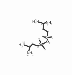 C[Si](C)(CCC(N)N)O[Si](C)(C)CCC(N)N